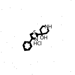 Cl.OC1(c2nc(-c3ccccc3)cs2)CCNCC1